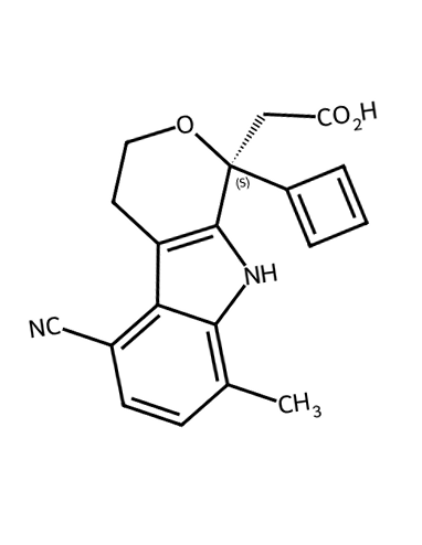 Cc1ccc(C#N)c2c3c([nH]c12)[C@](CC(=O)O)(C1=CC=C1)OCC3